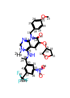 [2H]N1CN=c2c(cc(O[C@H]3CCOC3)c(=O)n2Cc2ccc(OC)cc2)=C1N[C@H](C)c1cc([N+](=O)[O-])cc(C(F)(F)F)c1